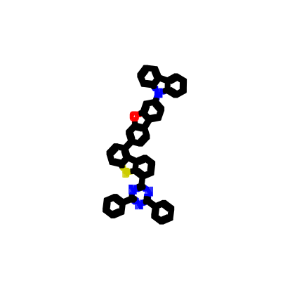 c1ccc(-c2nc(-c3ccccc3)nc(-c3cccc4c3sc3cccc(-c5ccc6c(c5)oc5cc(-n7c8ccccc8c8ccccc87)ccc56)c34)n2)cc1